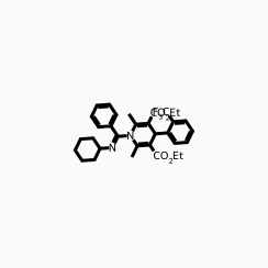 CCOC(=O)C1=C(C)N(C(=NC2CCCCC2)c2ccccc2)C(C)=C(C(=O)OCC)C1c1ccccc1C(F)(F)F